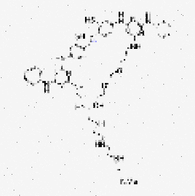 CNCCNCCNCCNCCNCCNc1nc(Nc2ccccc2)nc(Nc2ccc(/C=C/c3ccc(Nc4nc(NCCCOCCOCCO)nc(Nc5ccccc5)n4)cc3S)c(S)c2)n1